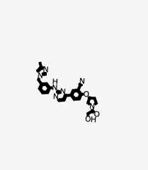 Cc1cn(Cc2cccc(Nc3nccc(-c4ccc(O[C@@H]5CCN(C(=O)CO)C5)c(C#N)c4)n3)c2)cn1